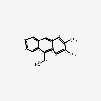 Cc1cc2cc3ccccc3c(CO)c2cc1C